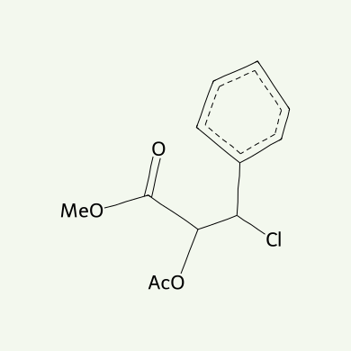 COC(=O)C(OC(C)=O)C(Cl)c1ccccc1